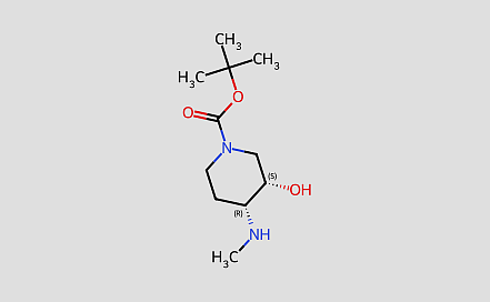 CN[C@@H]1CCN(C(=O)OC(C)(C)C)C[C@@H]1O